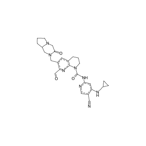 N#Cc1cnc(NC(=O)N2CCCc3cc(CN4CC5CCCN5CC4=O)c(C=O)nc32)cc1NC1CC1